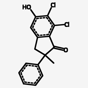 CC1(c2ccccc2)Cc2cc(O)c(Cl)c(Cl)c2C1=O